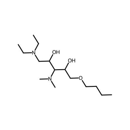 CCCCOCC(O)C(C(O)CN(CC)CC)N(C)C